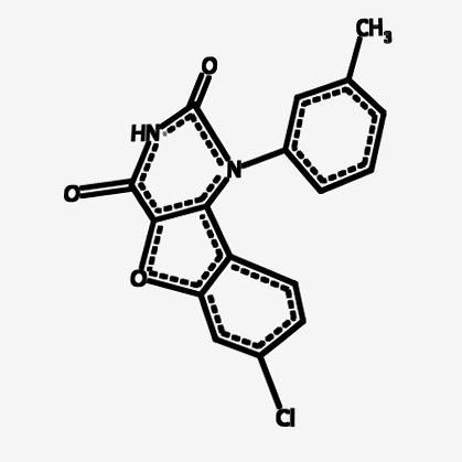 Cc1cccc(-n2c(=O)[nH]c(=O)c3oc4cc(Cl)ccc4c32)c1